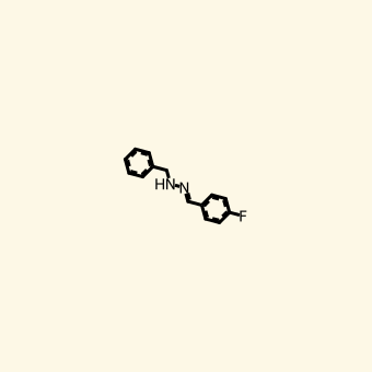 Fc1ccc(C=NNCc2ccccc2)cc1